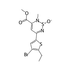 CCc1sc(C2=N[S+]([O-])N(C)C(C(=O)OC)=C2)cc1Br